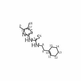 Cc1nc(NC(=S)NCCC2=CCCCC2)sc1C